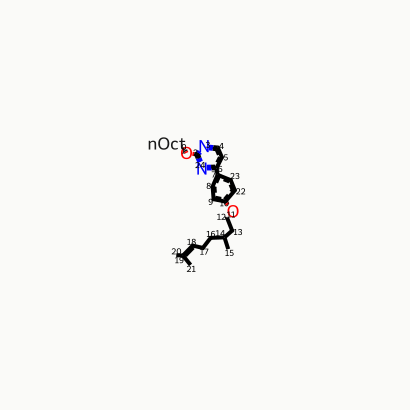 CCCCCCCCOc1nccc(-c2ccc(OCCC(C)CCC=C(C)C)cc2)n1